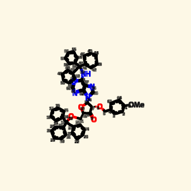 COc1ccc(CO[C@@H]2C(=O)[C@@H](COC(c3ccccc3)(c3ccccc3)c3ccccc3)O[C@H]2n2cnc3c(NC(c4ccccc4)(c4ccccc4)c4ccccc4)ncnc32)cc1